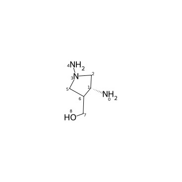 N[C@H]1CN(N)CC1CO